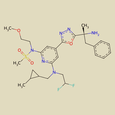 COCCN(c1cc(-c2nnc([C@](C)(N)Cc3ccccc3)o2)cc(N(CC(F)F)CC2CC2C)n1)S(C)(=O)=O